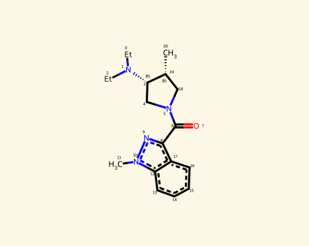 CCN(CC)[C@H]1CN(C(=O)c2nn(C)c3ccccc23)C[C@H]1C